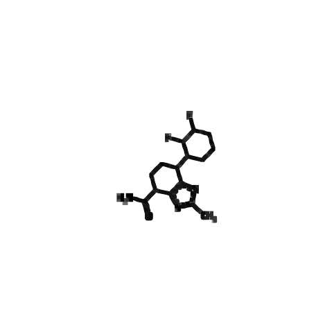 Cc1nc2c(s1)C(C(N)=O)CCC2C1CCCC(F)C1F